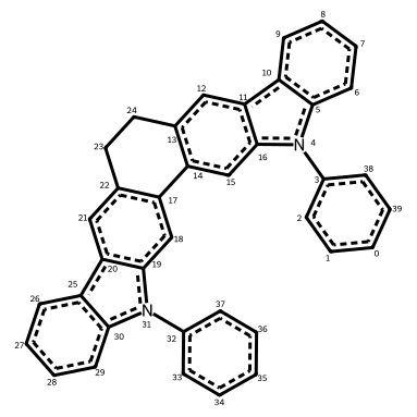 c1ccc(-n2c3ccccc3c3cc4c(cc32)-c2cc3c(cc2CC4)c2ccccc2n3-c2ccccc2)cc1